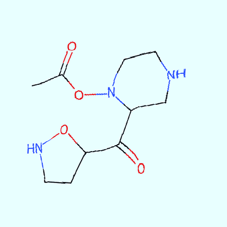 CC(=O)ON1CCNCC1C(=O)C1CCNO1